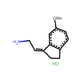 COc1ccc2c(c1)/C(=C\CN)CC2.Cl